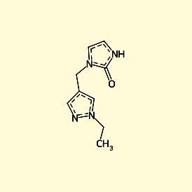 CCn1cc(Cn2cc[nH]c2=O)cn1